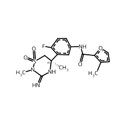 Cc1ccoc1C(=O)Nc1ccc(F)c([C@]2(C)CS(=O)(=O)N(C)C(=N)N2)c1